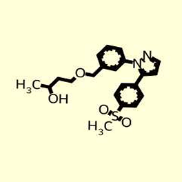 CC(O)CCOCc1cccc(-n2nccc2-c2ccc(S(C)(=O)=O)cc2)c1